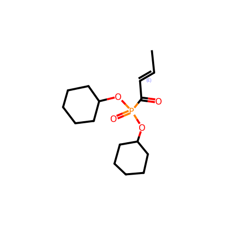 C/C=C/C(=O)P(=O)(OC1CCCCC1)OC1CCCCC1